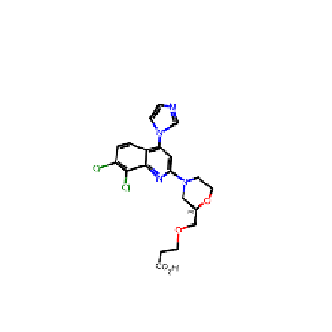 O=C(O)CCOC[C@H]1CN(c2cc(-n3ccnc3)c3ccc(Cl)c(Cl)c3n2)CCO1